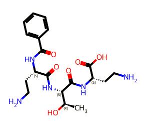 C[C@@H](O)[C@H](NC(=O)[C@H](CCN)NC(=O)c1ccccc1)C(=O)N[C@@H](CCN)C(=O)O